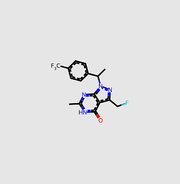 Cc1nc2c(c(CF)nn2C(C)c2ccc(C(F)(F)F)cc2)c(=O)[nH]1